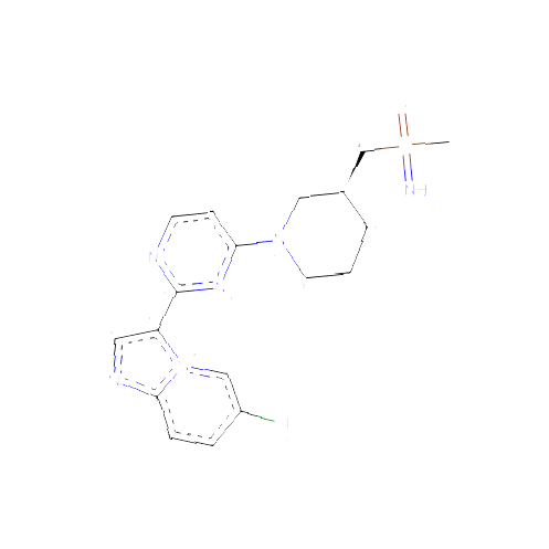 CS(=N)(=O)C[C@H]1CCCN(c2ccnc(-c3cnc4ccc(Cl)cn34)n2)C1